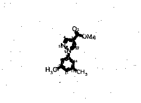 COC(=O)c1cnn(-c2cc(C)cc(C)c2)c1